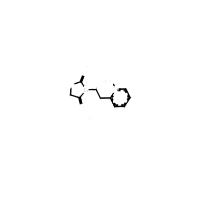 C[n+]1ccccc1CCN1C(=O)COC1=O.[I-]